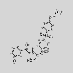 Cl.O=C(O)COc1ccc(S(=O)(=O)c2ccc(C[C@@H](CO)NC[C@@H](O)c3cccc(Cl)c3)cc2)cc1